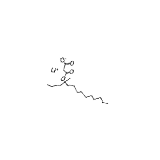 CCCCCCCCCCC(C)(CCCC)OC(=O)CC(=O)[O-].[Li+]